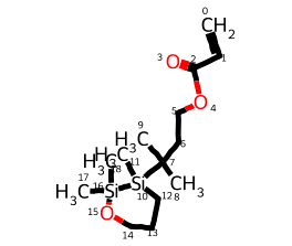 C=CC(=O)OCCC(C)(C)[Si]1(C)CCCO[Si]1(C)C